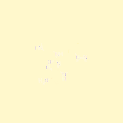 NC(=O)c1nnc(N[C@H]2CCCNC2)nc1Nc1ccc2cnn(C(F)F)c2c1